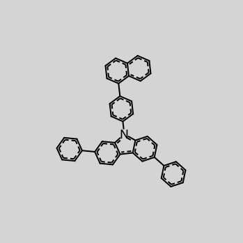 c1ccc(-c2ccc3c(c2)c2ccc(-c4ccccc4)cc2n3-c2ccc(-c3cccc4ccccc34)cc2)cc1